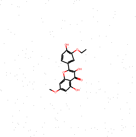 CCOc1cc(-c2oc3cc(OC)cc(O)c3c(=O)c2O)ccc1O